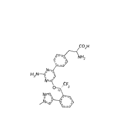 Cn1cc(-c2ccccc2[C@H](Oc2cc(-c3ccc(CC(N)C(=O)O)cc3)nc(N)n2)C(F)(F)F)cn1